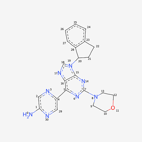 Nc1cnc(-c2nc(N3CCOCC3)nc3c2ncn3C2CCc3ccccc32)cn1